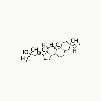 CC(C)(O)COC1CCC2C3CCC4C[C@@](C)(O)CCC4(C)C3CCC12C